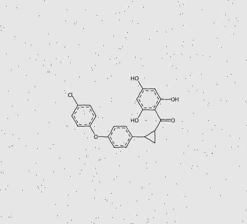 O=C(c1c(O)cc(O)cc1O)C1CC1c1ccc(Oc2ccc(Cl)cc2)cc1